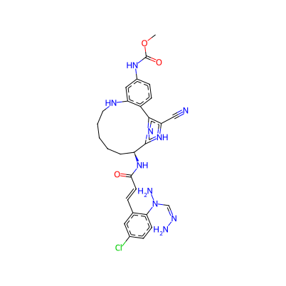 COC(=O)Nc1ccc2c(c1)NCCCCC[C@H](NC(=O)/C=C/c1cc(Cl)ccc1N(N)/C=N\N)c1nc-2c(C#N)[nH]1